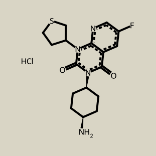 Cl.N[C@H]1CC[C@@H](n2c(=O)c3cc(F)cnc3n(C3CCSC3)c2=O)CC1